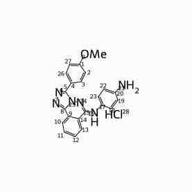 COc1ccc(-c2nnc3c4ccccc4c(Nc4ccc(N)cc4)nn23)cc1.Cl